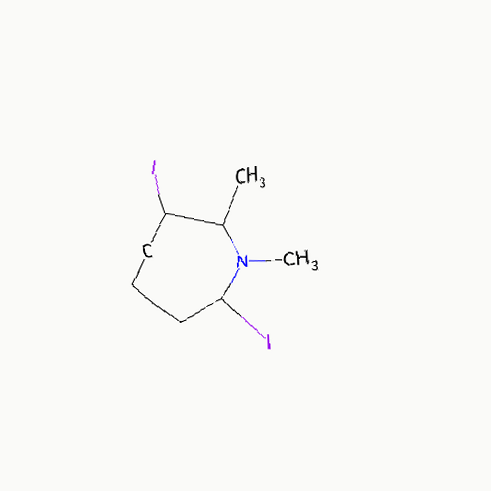 CC1C(I)CCCC(I)N1C